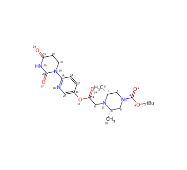 C[C@@H]1CN(C(=O)OC(C)(C)C)C[C@H](C)N1CC(=O)Oc1ccc(N2CCC(=O)NC2=O)nc1